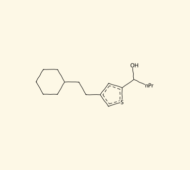 CCCC(O)c1cc(CCC2CCCCC2)cs1